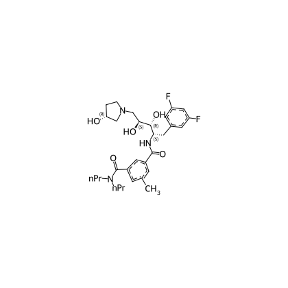 CCCN(CCC)C(=O)c1cc(C)cc(C(=O)N[C@@H](Cc2cc(F)cc(F)c2)[C@@H](O)[C@@H](O)CN2CC[C@@H](O)C2)c1